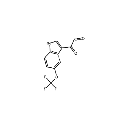 O=CC(=O)c1c[nH]c2ccc(OC(F)(F)F)cc12